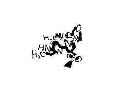 CN.Cc1cc2nc(-c3cc(CS(=O)(=O)C4CC4)cc(N4CCOCC4C)n3)ccc2[nH]1